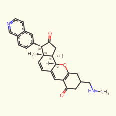 CNCC1CC(=O)C2=C(C1)O[C@@H]1C(=C2)C=C[C@]2(C)[C@@H](c3ccc4cnccc4c3)C(=O)C[C@@H]12